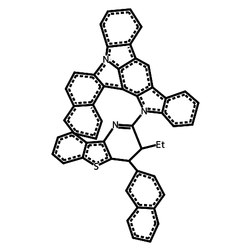 CCC1C(n2c3ccccc3c3cc4c5ccccc5n5c6ccc7ccccc7c6c(c32)c45)=Nc2c(sc3ccccc23)C1c1ccc2ccccc2c1